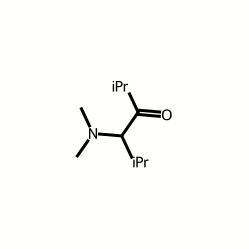 CC(C)C(=O)C(C(C)C)N(C)C